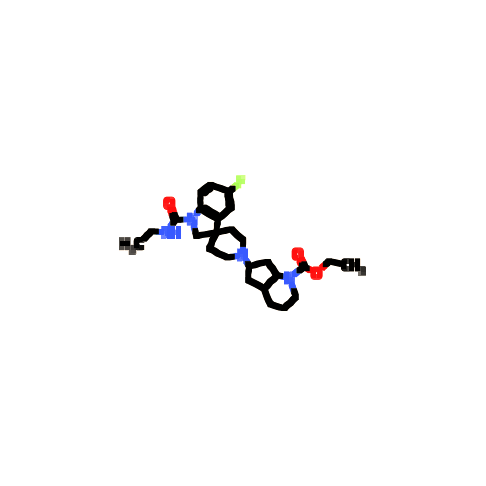 CCNC(=O)N1CC2(CCN(C3CC4CCCN(C(=O)OCC)C4C3)CC2)c2cc(F)ccc21